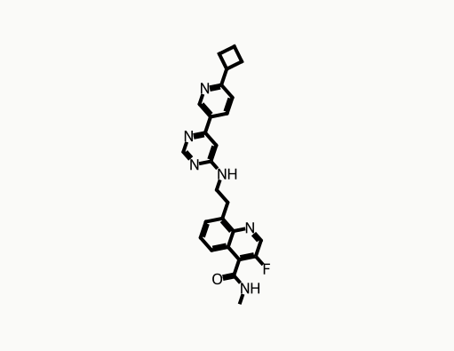 CNC(=O)c1c(F)cnc2c(CCNc3cc(-c4ccc(C5CCC5)nc4)ncn3)cccc12